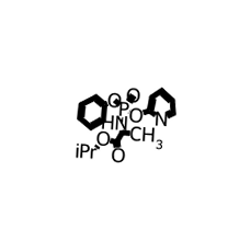 CC(C)OC(=O)C(C)N[P@@](=O)(Oc1ccccc1)Oc1ccccn1